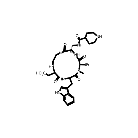 CC(C)C1C(=O)N[C@@H](CNC(=O)C2CCNCC2)C(=O)NCCNC(CC(=O)O)C(=O)NC(Cc2c[nH]c3ccccc23)C(=O)N1C